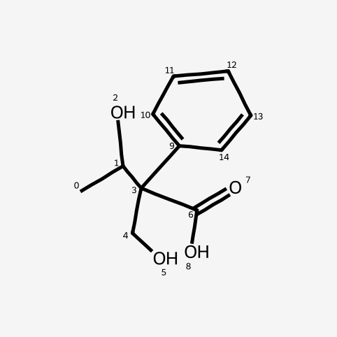 CC(O)C(CO)(C(=O)O)c1ccccc1